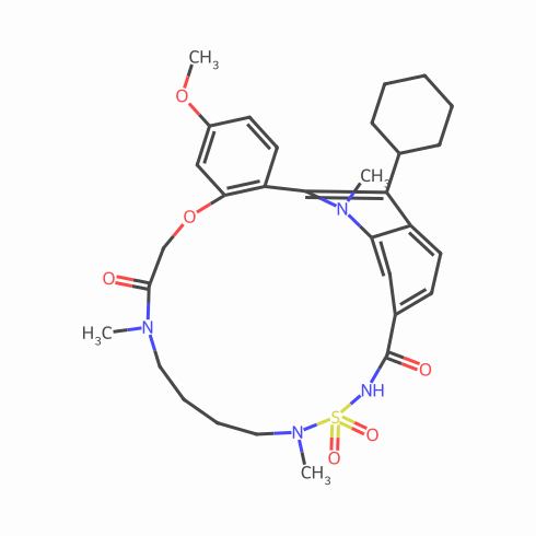 COc1ccc2c(c1)OCC(=O)N(C)CCCCN(C)S(=O)(=O)NC(=O)c1ccc3c(C4CCCCC4)c-2n(C)c3c1